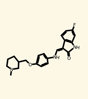 CN1CCCC(COc2ccc(N/C=C3\C(=O)Nc4cc(F)ccc43)cc2)C1